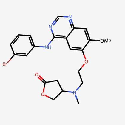 COc1cc2ncnc(Nc3cccc(Br)c3)c2cc1OCCN(C)C1COC(=O)C1